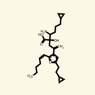 C=C(CC(O)(C(=O)O)C(N)CCCC1CC1)c1cc(CCC2CC2)oc1/C=C\CCCC